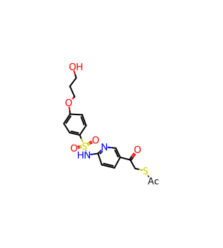 CC(=O)SCC(=O)c1ccc(NS(=O)(=O)c2ccc(OCCCO)cc2)nc1